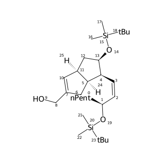 CCCCC[C@@H](/C=C\[C@H]1[C@H]2CC(CO)=C[C@H]2C[C@H]1O[Si](C)(C)C(C)(C)C)O[Si](C)(C)C(C)(C)C